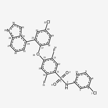 O=S(=O)(Nc1cc(Cl)ccn1)c1cc(F)c(Oc2ccc(Cl)cc2-c2cccc3nccn23)cc1F